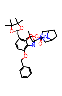 CC(C)(C)OC(=O)N1C2CCC1CN(c1nc3c(OCc4ccccc4)ccc(B4OC(C)(C)C(C)(C)O4)c3o1)C2